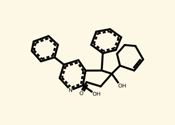 O=CCC(O)(C1C=CCCC1)C(c1ccccc1)c1cc(-c2ccccc2)cnc1O